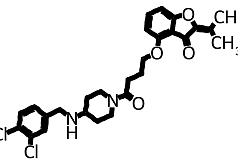 CC(C)=C1Oc2cccc(OCCCC(=O)N3CCC(NCc4ccc(Cl)c(Cl)c4)CC3)c2C1=O